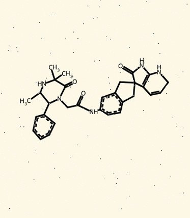 CC1NC(C)(C)C(=O)N(CC(=O)Nc2ccc3c(c2)CC2(C3)C(=O)NC3=C2C=CCN3)C1c1ccccc1